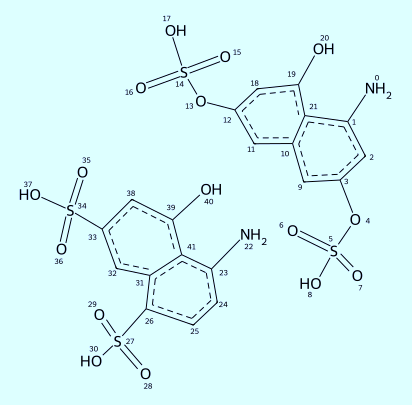 Nc1cc(OS(=O)(=O)O)cc2cc(OS(=O)(=O)O)cc(O)c12.Nc1ccc(S(=O)(=O)O)c2cc(S(=O)(=O)O)cc(O)c12